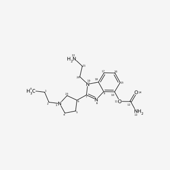 CCCN1CCC(c2nc3c(OC(N)=O)cccc3n2CCN)C1